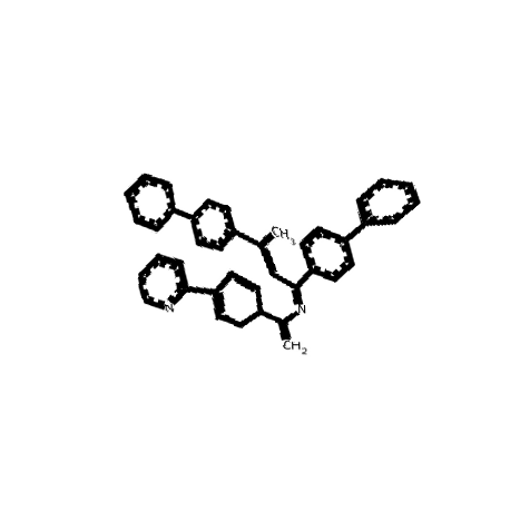 C=C(/N=C(\C=C(/C)c1ccc(-c2ccccc2)cc1)c1ccc(-c2ccccc2)cc1)C1C=CC(c2ccccn2)=CC1